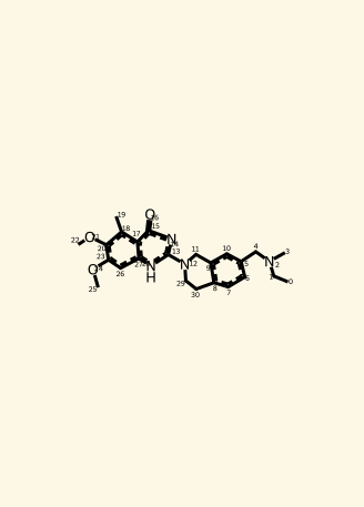 CCN(C)Cc1ccc2c(c1)CN(c1nc(=O)c3c(C)c(OC)c(OC)cc3[nH]1)CC2